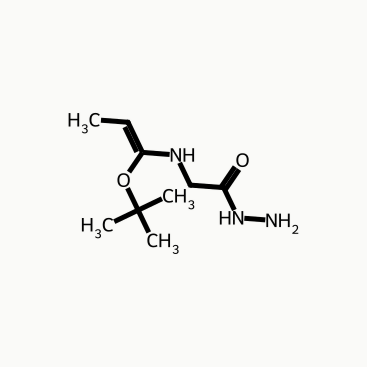 CC=C(NCC(=O)NN)OC(C)(C)C